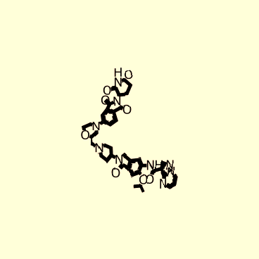 CC(C)Oc1cc2c(cc1NC(=O)c1cnn3cccnc13)CN(C1CCN(C[C@@H]3CN(c4ccc5c(c4)C(=O)N(C4CCC(=O)NC4=O)C5=O)CCO3)CC1)C2=O